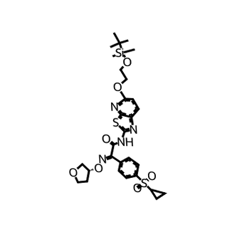 CC(C)(C)[Si](C)(C)OCCOc1ccc2nc(NC(=O)/C(=N/O[C@@H]3CCOC3)c3ccc(S(=O)(=O)C4CC4)cc3)sc2n1